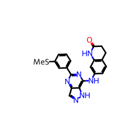 CSc1cccc(-c2nc(Nc3ccc4c(c3)NC(=O)CC4)c3[nH]ncc3n2)c1